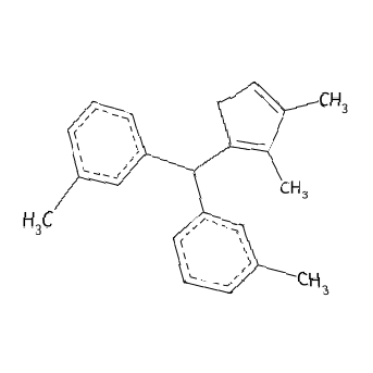 CC1=CCC(C(c2cccc(C)c2)c2cccc(C)c2)=C1C